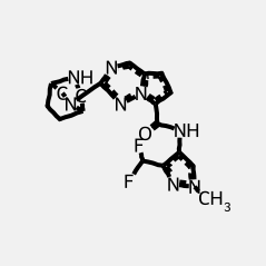 Cn1cc(NC(=O)c2ccc3cnc(N4CC5CCC4CN5)nn23)c(C(F)F)n1